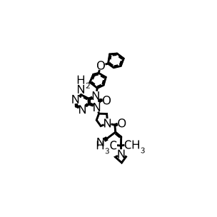 CC(C)(C=C(C#N)C(=O)N1CCC(n2c(=O)n(-c3ccc(Oc4ccccc4)cc3)c3c(N)ncnc32)C1)N1CCC1